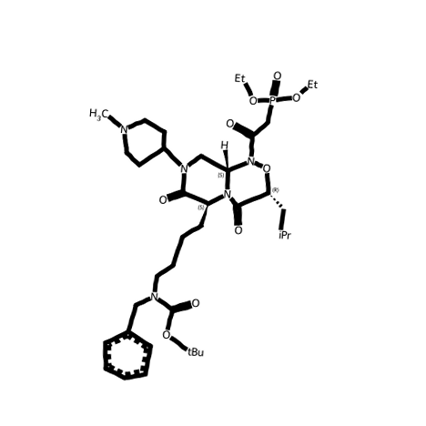 CCOP(=O)(CC(=O)N1O[C@H](CC(C)C)C(=O)N2[C@@H]1CN(C1CCN(C)CC1)C(=O)[C@@H]2CCCCN(Cc1ccccc1)C(=O)OC(C)(C)C)OCC